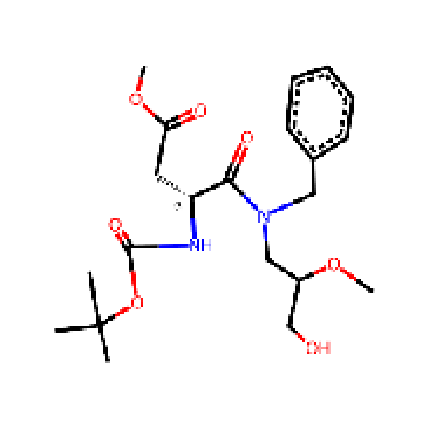 COC(=O)C[C@@H](NC(=O)OC(C)(C)C)C(=O)N(Cc1ccccc1)CC(CO)OC